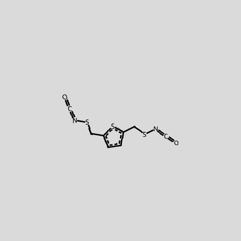 O=C=NSCc1ccc(CSN=C=O)s1